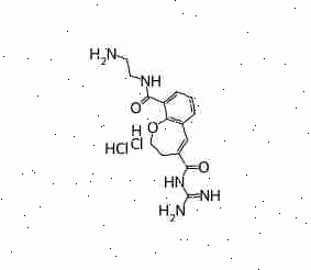 Cl.Cl.N=C(N)NC(=O)C1=Cc2cccc(C(=O)NCCN)c2OCC1